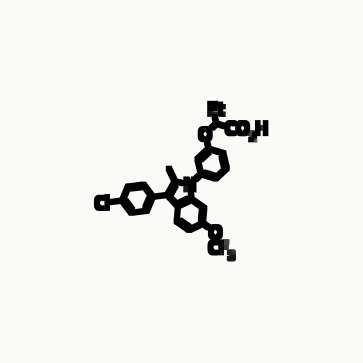 CCC(Oc1cccc(-n2c(C)c(-c3ccc(Cl)cc3)c3ccc(OC(F)(F)F)cc32)c1)C(=O)O